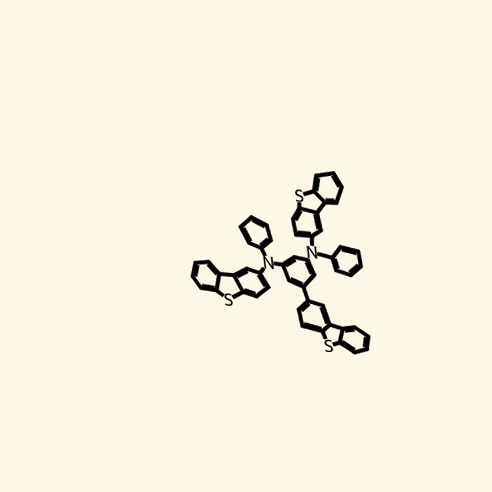 c1ccc(N(c2cc(-c3ccc4sc5ccccc5c4c3)cc(N(c3ccccc3)c3ccc4sc5ccccc5c4c3)c2)c2ccc3sc4ccccc4c3c2)cc1